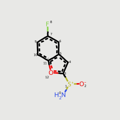 N[S+]([O-])c1cc2cc(F)ccc2o1